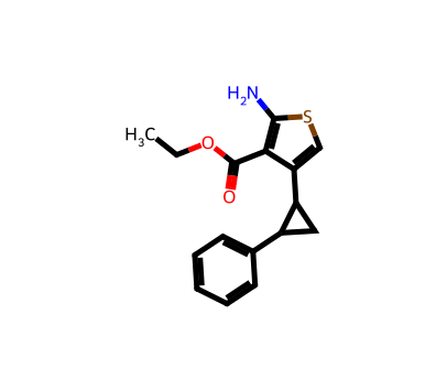 CCOC(=O)c1c(C2CC2c2ccccc2)csc1N